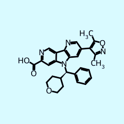 Cc1noc(C)c1-c1cnc2c3cnc(C(=O)O)cc3n([C@@H](c3ccccc3)C3CCOCC3)c2c1